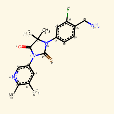 CC1(C)C(=O)N(c2cnc(C#N)c(C(F)(F)F)c2)C(=S)N1c1ccc(CN)c(F)c1